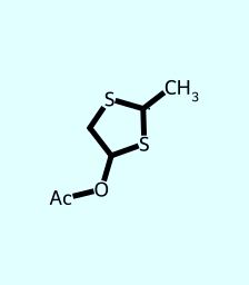 C[C]1SCC(OC(C)=O)S1